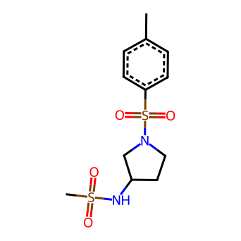 Cc1ccc(S(=O)(=O)N2CCC(NS(C)(=O)=O)C2)cc1